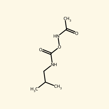 CC(=O)NOC(=O)NCC(C)C